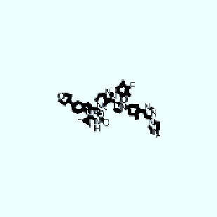 Cc1cc(-n2ccn(-c3c4c(nn3-c3cc(C)c(F)c(C)c3)CCN(C(=O)c3cc5cc(C6CCOCC6)ccc5n3[C@@]3(c5noc(=O)[nH]5)C[C@@H]3C)[C@H]4C)c2=O)ccc1-c1cc(N2CCN(C)CC2)ncn1